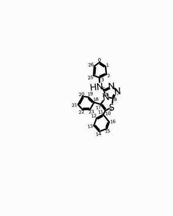 c1ccc(Nc2nnc3sc(-c4ccccc4)c(-c4ccccc4)n23)cc1